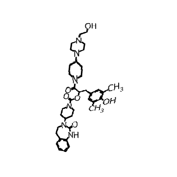 Cc1cc(CC(OC(=O)N2CCC(N3CCc4ccccc4NC3=O)CC2)C(=O)N2CCC(N3CCN(CCO)CC3)CC2)cc(C)c1O